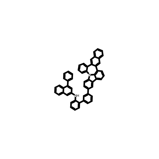 c1ccc(-c2cc(Nc3ccccc3-c3cccc(-c4ccc5c(c4)c4cccc6c4n5-c4ccccc4-c4cc5ccccc5cc4-6)c3)cc3ccccc23)cc1